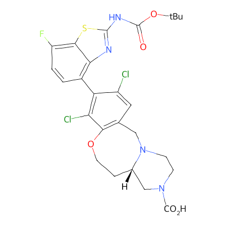 CC(C)(C)OC(=O)Nc1nc2c(-c3c(Cl)cc4c(c3Cl)OCC[C@H]3CN(C(=O)O)CCN3C4)ccc(F)c2s1